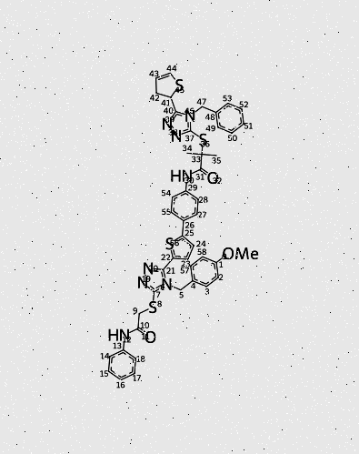 COc1ccc(Cn2c(SCC(=O)Nc3ccccc3)nnc2-c2ccc(-c3ccc(NC(=O)C(C)(C)Sc4nnc(C5CC=CS5)n4Cc4ccccc4)cc3)s2)cc1